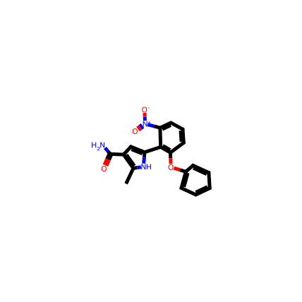 Cc1[nH]c(-c2c(Oc3ccccc3)cccc2[N+](=O)[O-])cc1C(N)=O